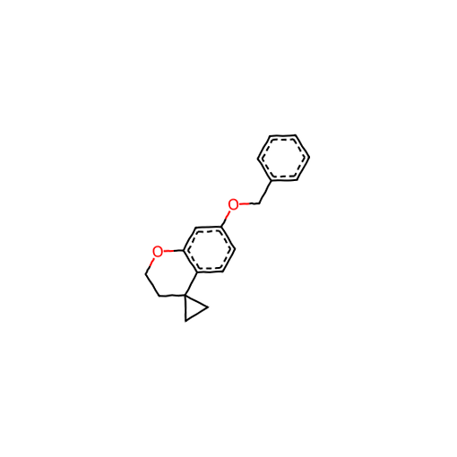 c1ccc(COc2ccc3c(c2)OCCC32CC2)cc1